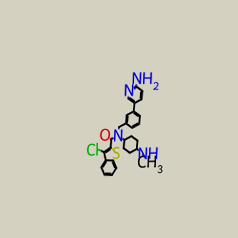 CNC1CCC(N(Cc2cccc(-c3ccc(N)nc3)c2)C(=O)c2sc3ccccc3c2Cl)CC1